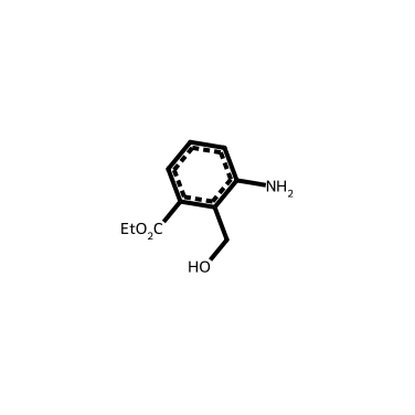 CCOC(=O)c1cccc(N)c1CO